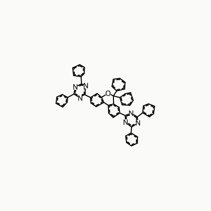 c1ccc(-c2nc(-c3ccccc3)nc(-c3ccc4c(c3)OC(c3ccccc3)(c3ccccc3)c3cc(-c5nc(-c6ccccc6)nc(-c6ccccc6)n5)ccc3-4)n2)cc1